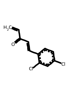 C=CC(=O)C=Cc1ccc(Cl)cc1Cl